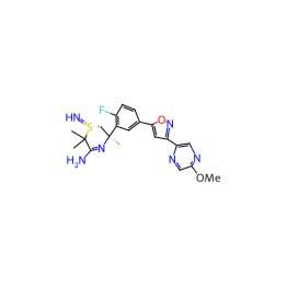 COc1cnc(-c2cc(-c3ccc(F)c([C@]4(C)C[S@@](=N)C(C)(C)C(N)=N4)c3)on2)cn1